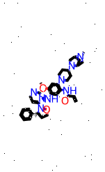 C=CC(=O)Nc1cc(NN2CN=CC=C2N2OCC[C@@H]2c2ccccc2)c(OC)cc1N1CCC(N2CC3CC2CN3C)CC1